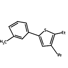 CCc1sc(-c2cccc(C)c2)cc1C(C)C